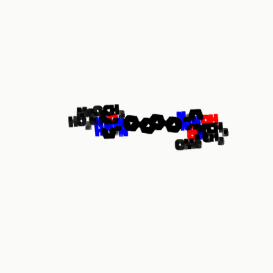 COC(=O)N(C)[C@H](C(=O)N1CCC[C@H]1c1nc2cc(-c3ccc4cc(-c5ccc6[nH]c([C@@H]7CCCN7C(=O)[C@@H](NC(=O)O)[C@@H](C)OC)nc6c5)ccc4c3)ccc2[nH]1)[C@@H](C)O